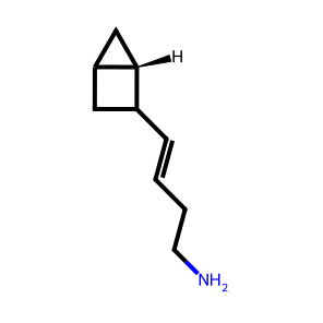 NCC/C=C/C1CC2C[C@H]12